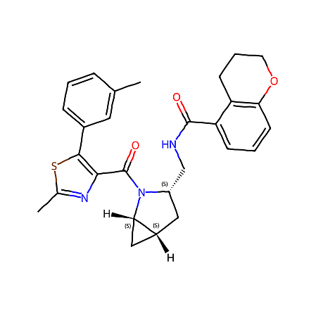 Cc1cccc(-c2sc(C)nc2C(=O)N2[C@H](CNC(=O)c3cccc4c3CCCO4)C[C@@H]3C[C@@H]32)c1